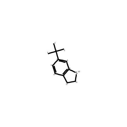 CC(C)(C)c1ccc2c(c1)SCC2